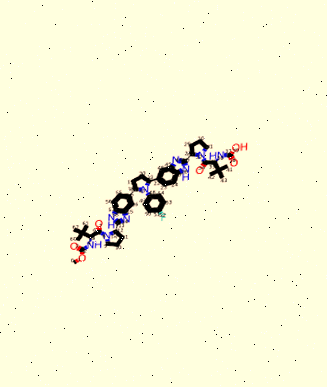 COC(=O)N[C@H](C(=O)N1CCC[C@H]1c1nc2cc([C@@H]3CC[C@@H](c4ccc5[nH]c([C@@H]6CCCN6C(=O)[C@@H](NC(=O)O)C(C)(C)C)nc5c4)N3c3ccc(F)cc3)ccc2[nH]1)C(C)(C)C